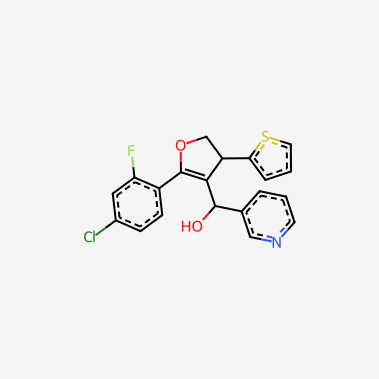 OC(C1=C(c2ccc(Cl)cc2F)OCC1c1cccs1)c1cccnc1